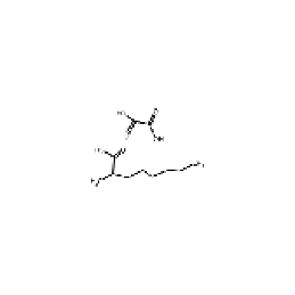 CCCCCCC(C)C(=O)O.O=C(O)C(=O)O